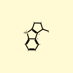 CC1CCc2[nH]c3ccccc3c21